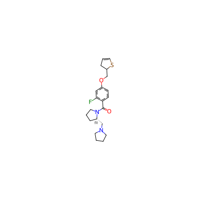 O=C(c1ccc(OCC2CC=CS2)cc1F)N1CCC[C@H]1CN1CCCC1